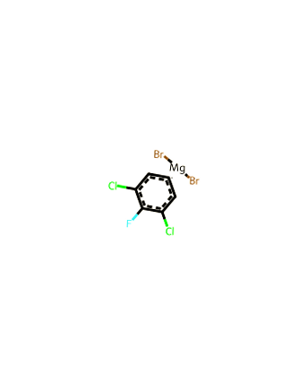 Fc1c(Cl)c[c]cc1Cl.[Br][Mg][Br]